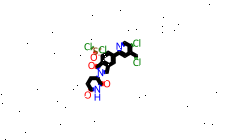 O=C1CCC(N2Cc3cc(-c4cc(CCl)c(Cl)cn4)ccc3C2=O)C(=O)N1.[O-][S+](Cl)Cl